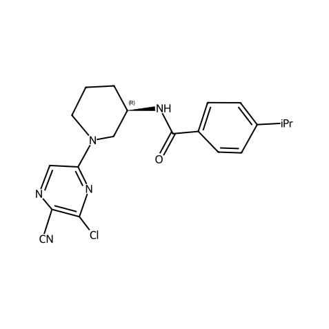 CC(C)c1ccc(C(=O)N[C@@H]2CCCN(c3cnc(C#N)c(Cl)n3)C2)cc1